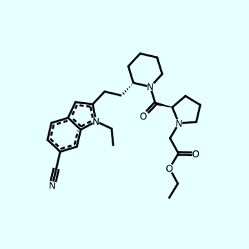 CCOC(=O)CN1CCC[C@@H]1C(=O)N1CCCC[C@H]1CCc1cc2ccc(C#N)cc2n1CC